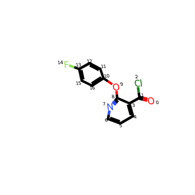 O=C(Cl)c1cccnc1Oc1ccc(F)cc1